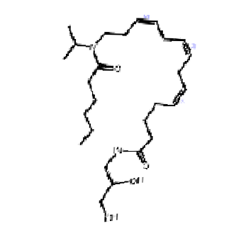 CCCCCC(=O)N(CC/C=C\C/C=C\C/C=C\CCCC(=O)NCC(O)CO)C(C)C